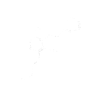 COCCOc1ccc(OC(C)=O)c(OCc2ccccc2)c1C